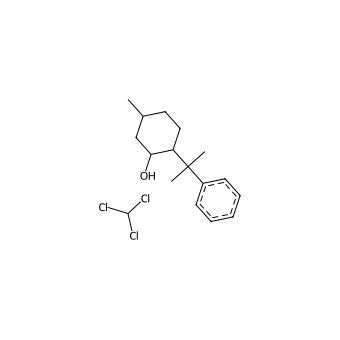 CC1CCC(C(C)(C)c2ccccc2)C(O)C1.ClC(Cl)Cl